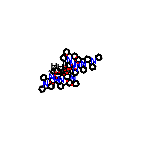 C[C@@H]1CC2C[C@@H]3C2CC(c2nc(-c4ccccc4-n4c5ccccc5c5ccc6c(c7ccccc7n6-c6ccccc6)c54)nc(-c4cccc(-c5ccccc5)c4-n4c5ccccc5c5ccc(-c6cccc7c6c6cc8c9ccccc9n(-c9c(C%10=C=CC(c%11ccccc%11-n%11c%12ccccc%12c%12ccccc%12%11)=NC(C%11%12C[C@H](C)C[C@H](C[C@H](C)C%11)C%12)=N%10)cccc9-c9ccccc9)c8cc6n7-c6ccccc6)cc54)n2)[C@@H]3C1